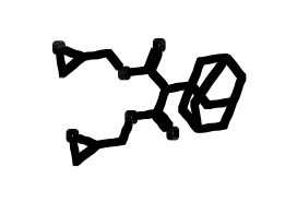 O=C(OCC1CO1)C(C(=O)OCC1CO1)C12CC3CC(CC(C3)C1)C2